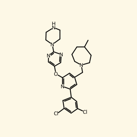 CC1CCCN(Cc2cc(Oc3cnc(N4CCNCC4)nc3)nc(-c3cc(Cl)cc(Cl)c3)c2)CC1